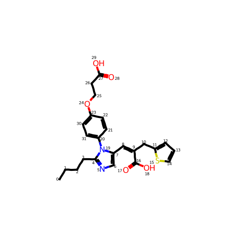 CCCCc1ncc(C=C(Cc2cccs2)C(=O)O)n1-c1ccc(OCCC(=O)O)cc1